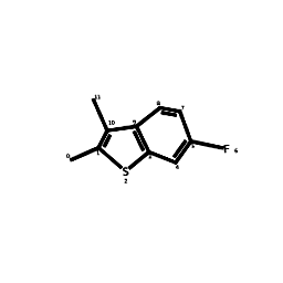 Cc1sc2cc(F)ccc2c1C